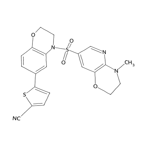 CN1CCOc2cc(S(=O)(=O)N3CCOc4ccc(-c5ccc(C#N)s5)cc43)cnc21